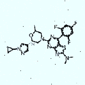 CC1CN(c2nc(-c3c(F)cc(F)cc3F)c3sc(N(C)C)nc3n2)C[C@H](c2cnn(C3CC3)c2)O1